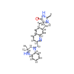 C=C1NC(=O)[C@]2(Cc3cc4ccc(CN5CC(C)(C)Nc6ccccc65)nc4cc3C2)N1C